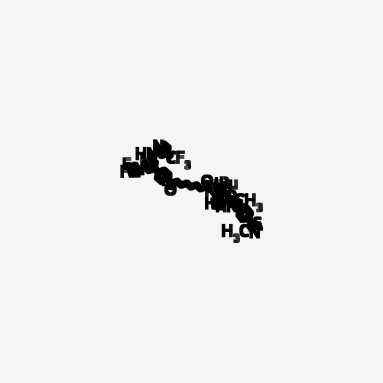 Cc1ncsc1-c1ccc(C(C)NC(=O)C2CCCN2C(=O)C(NC(=O)CCCCCCC(=O)N2CCC(c3cc(Nc4cc(C(F)(F)F)ccn4)nc(N4CCC(F)(F)C4)c3)CC2)C(C)(C)C)cc1